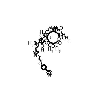 CC[C@H]1OC(=O)[C@H](C)C(=O)[C@H](C)[C@@H](O[C@@H]2O[C@@H](C)C[C@H](N(C)CCc3cn(CCCOc4ccc(-c5csnn5)cc4)nn3)[C@H]2O)[C@](C)(OC)C[C@@H](C)C(=O)[C@H](C)[C@H]2N(N)C(=O)O[C@]12C